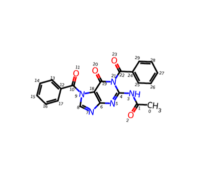 CC(=O)Nc1nc2ncn(C(=O)c3ccccc3)c2c(=O)n1C(=O)c1ccccc1